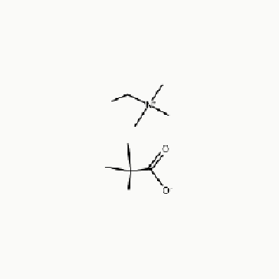 CC(C)(C)C(=O)[O-].CC[N+](C)(C)C